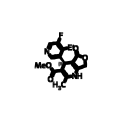 CCc1c(F)cncc1[C@@H]1C(C(=O)OC)=C(C)NC2=C1C(=O)OC2